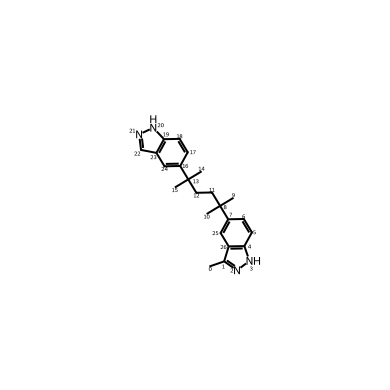 Cc1n[nH]c2ccc(C(C)(C)CCC(C)(C)c3ccc4[nH]ncc4c3)cc12